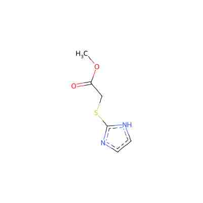 COC(=O)CSc1ncc[nH]1